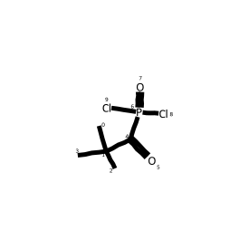 CC(C)(C)C(=O)P(=O)(Cl)Cl